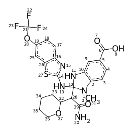 CN1c2ccc(C(=O)O)cc2NC1(Nc1nc2ccc(OC(F)(F)F)cc2s1)C(C(N)=O)C1CCCCO1